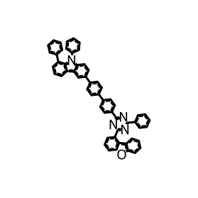 c1ccc(-c2nc(-c3ccc(-c4ccc(-c5ccc6c(c5)c5cccc(-c7ccccc7)c5n6-c5ccccc5)cc4)cc3)nc(-c3cccc4oc5ccccc5c34)n2)cc1